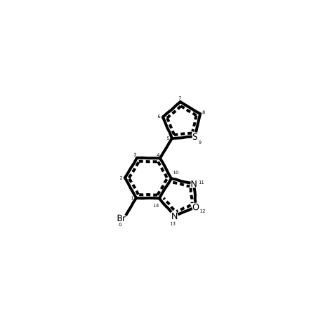 Brc1ccc(-c2cccs2)c2nonc12